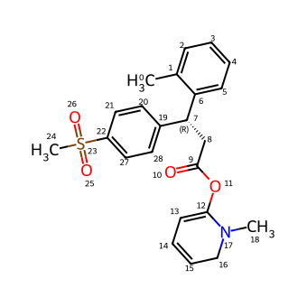 Cc1ccccc1[C@H](CC(=O)OC1=CC=CCN1C)c1ccc(S(C)(=O)=O)cc1